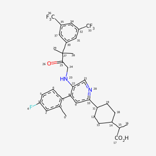 Cc1cc(F)ccc1-c1cc(C2CCC(C(C)C(=O)O)CC2)ncc1NCC(=O)C(C)(C)c1cc(C(F)(F)F)cc(C(F)(F)F)c1